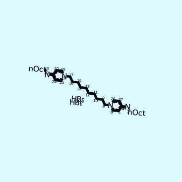 Br.Br.CCCCCCCCN=c1ccn(CCCCCCCCCCn2ccc(=NCCCCCCCC)cc2)cc1